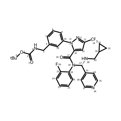 CC(C)(C)OC(=O)NCc1cccc(-n2nc(C(F)(F)F)cc2C(=O)N(c2ccccc2F)[C@H](NCC2CC2)c2ccncc2)c1